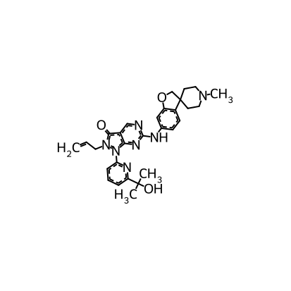 C=CCn1c(=O)c2cnc(Nc3ccc4c(c3)OCC43CCN(C)CC3)nc2n1-c1cccc(C(C)(C)O)n1